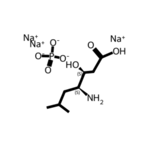 CC(C)C[C@H](N)[C@@H](O)CC(=O)O.O=P([O-])([O-])[O-].[Na+].[Na+].[Na+]